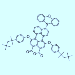 CC(C)(C)CC(C)(C)c1ccc(Oc2cc3c4c(cc(Oc5ccc(C(C)(C)CC(C)(C)C)cc5)c5c6ccc(N7c8ccccc8Oc8ccccc87)c7cccc(c2c45)c76)C(=O)OC3=O)cc1